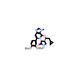 COc1ccc(-c2cc3ncn(C)c3c(OC(CC3CC3)[C@H]3CNC(=O)C3)n2)cc1OC